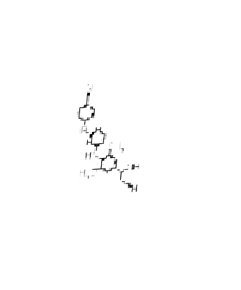 Cc1cc(C(O)CC#N)cc(C)c1Nc1ccnc(Nc2ccc(C#N)cc2)n1